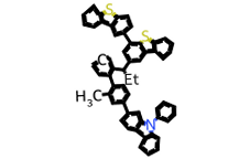 CCC(c1cc(-c2ccc3sc4ccccc4c3c2)c2sc3ccccc3c2c1)c1ccccc1-c1ccc(-c2ccc3c4ccccc4n(-c4ccccc4)c3c2)cc1C